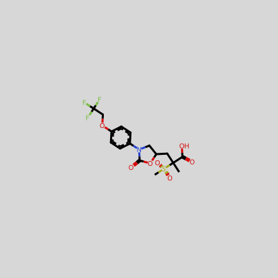 CC(CC1CN(c2ccc(OCC(F)(F)F)cc2)C(=O)O1)(C(=O)O)S(C)(=O)=O